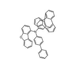 C1=C(N(c2ccc(-c3ccccc3)cc2)c2cccc3oc4ccccc4c23)CCC2=C1c1c3cccc1-c1cccc2c1-c1ccccc1-3